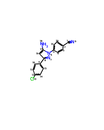 N#Cc1ccc(-n2nc(-c3ccc(Cl)cc3)cc2N)cc1